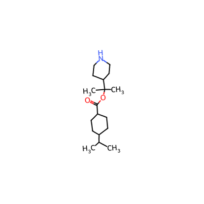 CC(C)C1CCC(C(=O)OC(C)(C)C2CCNCC2)CC1